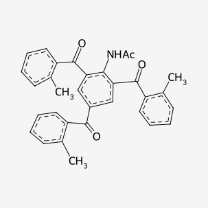 CC(=O)Nc1c(C(=O)c2ccccc2C)cc(C(=O)c2ccccc2C)cc1C(=O)c1ccccc1C